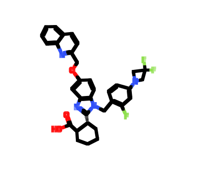 O=C(O)C1CCCC[C@H]1c1nc2cc(OCc3ccc4ccccc4n3)ccc2n1Cc1ccc(N2CC(F)(F)C2)cc1F